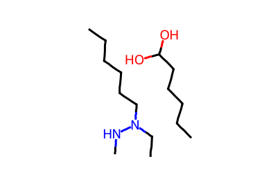 CCCCCC(O)O.CCCCCCN(CC)NC